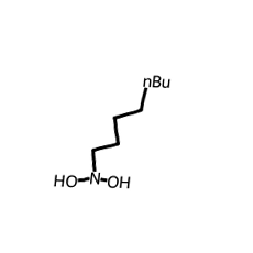 CCCCCCCCN(O)O